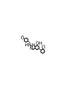 COc1ccc(CNc2ncc3cc(-c4ccccc4Cl)cc(O)c3n2)cc1